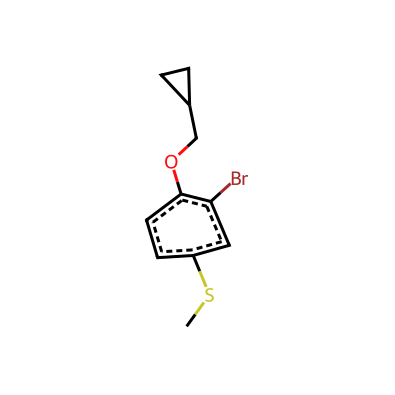 CSc1ccc(OCC2CC2)c(Br)c1